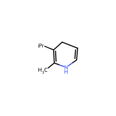 CC1=C(C(C)C)CC=CN1